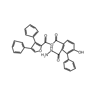 NNC(=O)c1c(C(=O)OC(=O)c2occ(-c3ccccc3)c2-c2ccccc2)ccc(O)c1-c1ccccc1